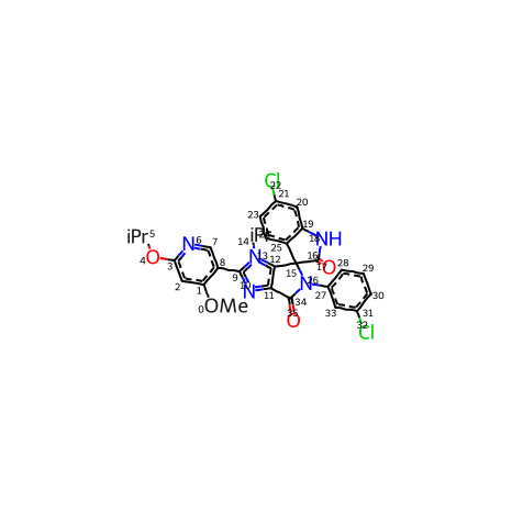 COc1cc(OC(C)C)ncc1-c1nc2c(n1C(C)C)C1(C(=O)Nc3cc(Cl)ccc31)N(c1cccc(Cl)c1)C2=O